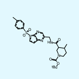 Cc1ccc(S(=O)(=O)n2ccc3nc(CNC(=O)C4CN(C(=O)OC(C)(C)C)CCC4C)cnc32)cc1